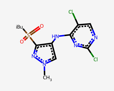 CCC(C)S(=O)(=O)c1nn(C)cc1Nc1nc(Cl)ncc1Cl